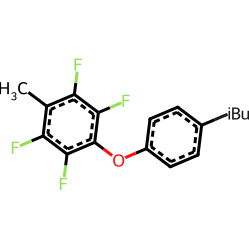 CCC(C)c1ccc(Oc2c(F)c(F)c(C)c(F)c2F)cc1